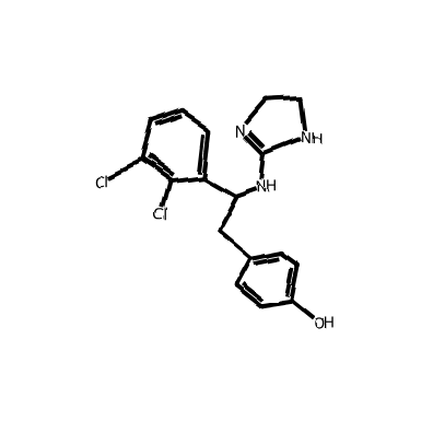 Oc1ccc(CC(NC2=NCCN2)c2cccc(Cl)c2Cl)cc1